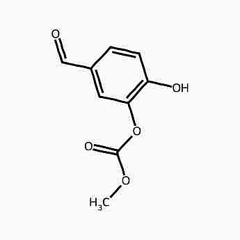 COC(=O)Oc1cc(C=O)ccc1O